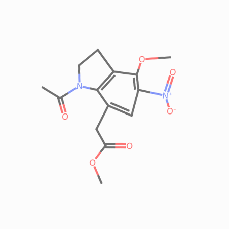 COC(=O)Cc1cc([N+](=O)[O-])c(OC)c2c1N(C(C)=O)CC2